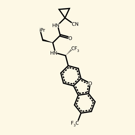 CC(C)C[C@H](N[C@@H](c1ccc2c(c1)oc1ccc(C(F)(F)F)cc12)C(F)(F)F)C(=O)NC1(C#N)CC1